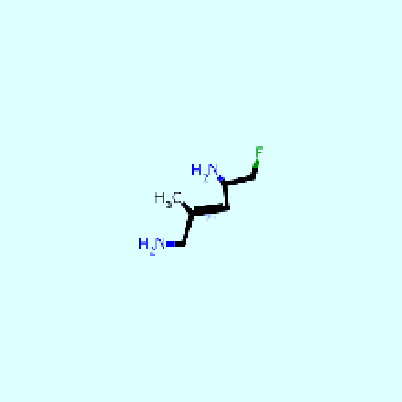 C/C(=C\C(N)CF)CN